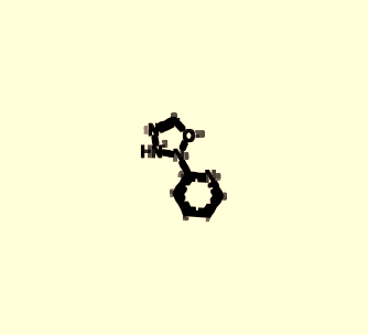 [C]1=NNN(c2ccccn2)O1